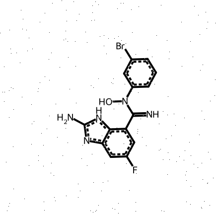 N=C(c1cc(F)cc2nc(N)[nH]c12)N(O)c1cccc(Br)c1